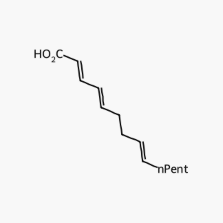 CCCCCC=CCCC=CC=CC(=O)O